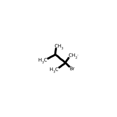 [CH2]C(C)(Br)C(C)C